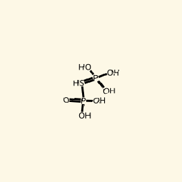 O=P(O)(O)[SH]=P(O)(O)O